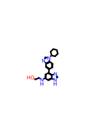 OCCNc1cc(-c2ccc3c(c2)ncn3C2CCCCC2)c2nc[nH]c2c1